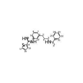 CC(NCCCc1cccc(NC(=N)c2cccs2)c1)c1ccccc1